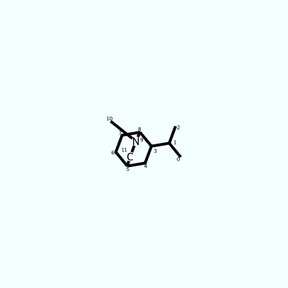 CC(C)C1CC2CCC1N(C)C2